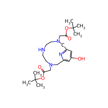 CC(C)(C)OC(=O)CN1CCNCCN(CC(=O)OC(C)(C)C)Cc2cc(O)cc(n2)C1